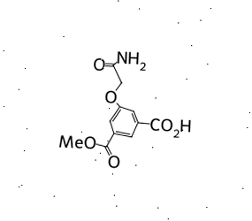 COC(=O)c1cc(OCC(N)=O)cc(C(=O)O)c1